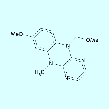 COCN1c2ccc(OC)cc2N(C)c2nccnc21